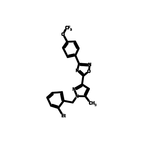 CCc1cc[c]cc1Cn1nc(-c2nc(-c3ccc(OC(F)(F)F)cc3)no2)cc1C